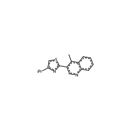 Cc1c(-c2nc(C(C)C)cs2)[c]nc2ccccc12